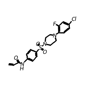 C=CC(=O)Nc1ccc(S(=O)(=O)N2CCN(c3ccc(Cl)cc3F)CC2)cc1